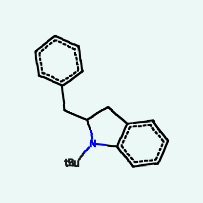 CC(C)(C)N1c2ccccc2CC1Cc1ccccc1